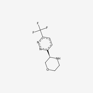 FC(F)(F)c1ccc([C@@H]2COCCN2)nn1